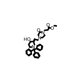 CCOC(=O)CCN1CCN(C/C=C2\CN(C(c3ccccc3)(c3ccccc3)c3ccccc3)CCC2O)CC1=O